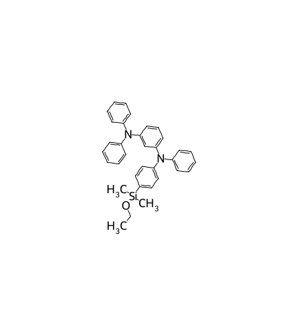 CCO[Si](C)(C)c1ccc(N(c2ccccc2)c2cccc(N(c3ccccc3)c3ccccc3)c2)cc1